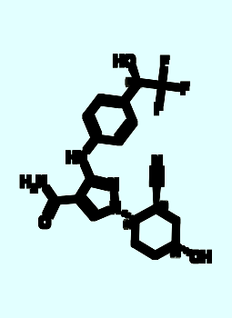 N#C[C@H]1C[C@H](O)CC[C@@H]1n1cc(C(N)=O)c(Nc2ccc([C@@H](O)C(F)(F)F)cc2)n1